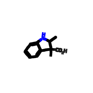 CC1Nc2ccccc2C1(C)C(=O)O